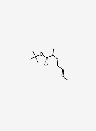 CC=CCCC(C)C(=O)OC(C)(C)C